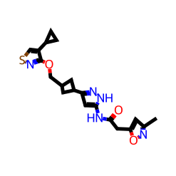 Cc1cc(CC(=O)Nc2cc(C3CC(COc4nscc4C4CC4)C3)n[nH]2)on1